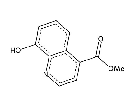 COC(=O)c1ccnc2c(O)cccc12